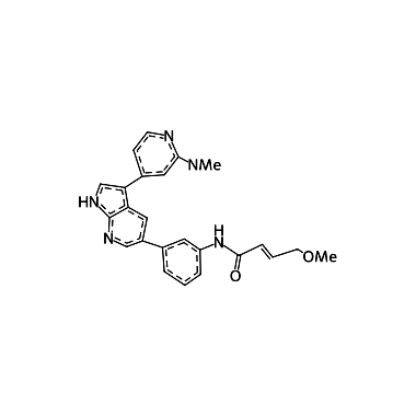 CNc1cc(-c2c[nH]c3ncc(-c4cccc(NC(=O)C=CCOC)c4)cc23)ccn1